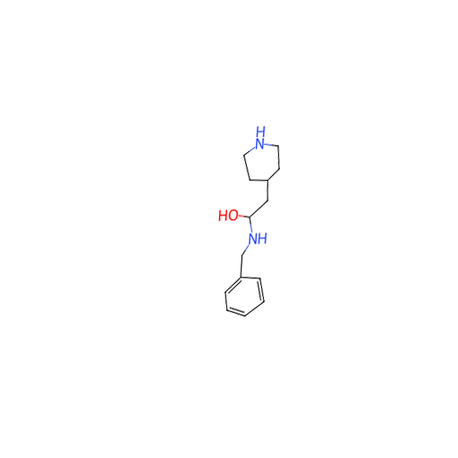 OC(CC1CCNCC1)NCc1ccccc1